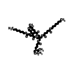 CCCCCCCCOC(=O)CCCC(=O)OCC(COC(=O)CCCC(=O)OCCCCCCCC)(COC(=O)CCCN(CC)C(C)C)COC(=O)C(CCCCC)CCCCC